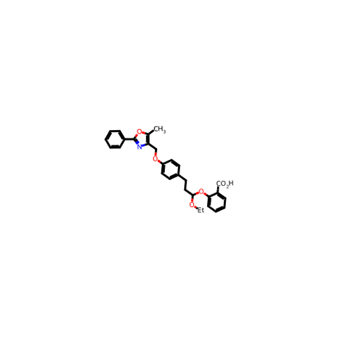 CCOC(CCc1ccc(OCc2nc(-c3ccccc3)oc2C)cc1)Oc1ccccc1C(=O)O